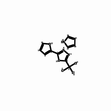 ClC(Cl)(Cl)c1nnc(-c2ccco2)o1.c1cc[nH]c1